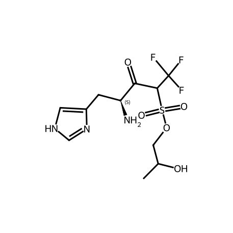 CC(O)COS(=O)(=O)C(C(=O)[C@@H](N)Cc1c[nH]cn1)C(F)(F)F